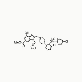 COC(=O)c1cc(O)c2nc(CN3CCC(c4cccc5c4O[C@@](C)(c4ccc(Cl)cn4)O5)CC3)n(C[C@@H]3CCO3)c2c1